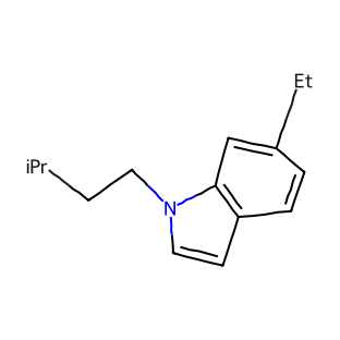 CCc1ccc2ccn(CCC(C)C)c2c1